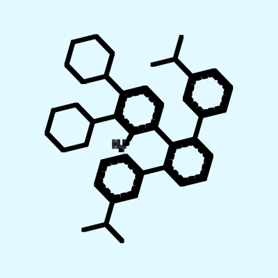 CC(C)c1cccc(-c2cccc(-c3cccc(C(C)C)c3)c2-c2ccc(C3CCCCC3)c(C3CCCCC3)c2P)c1